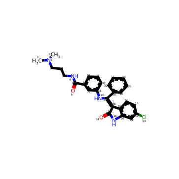 CN(C)CCCNC(=O)c1cccc(N/C(=C2\C(=O)Nc3cc(Cl)ccc32)c2ccccc2)c1